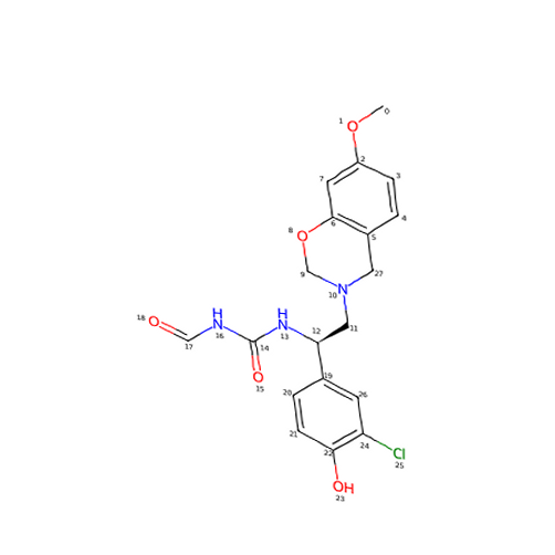 COc1ccc2c(c1)OCN(C[C@H](NC(=O)NC=O)c1ccc(O)c(Cl)c1)C2